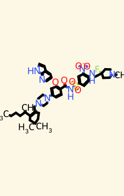 C=C(CCCC)C1=C(CN2CCN(c3ccc(C(=O)NS(=O)(=O)c4ccc(NCC5(F)CCN(C)CC5)c([N+](=O)[O-])c4)c(Oc4cnc5[nH]ccc5c4)c3)CC2)CCC(C)(C)C1